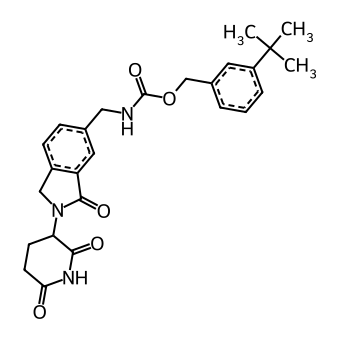 CC(C)(C)c1cccc(COC(=O)NCc2ccc3c(c2)C(=O)N(C2CCC(=O)NC2=O)C3)c1